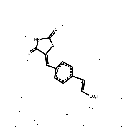 O=C(O)/C=C/c1ccc(/C=C2\SC(=O)NC2=O)cc1